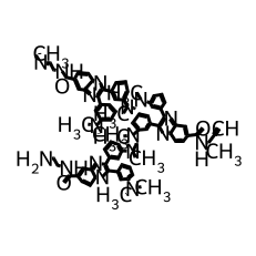 C#CC(C)NC(=O)c1ccc2nc(-c3cccc(N(C)CN(C)c4cccc(-c5nc6cc(C(=O)NCCN)ccc6nc5-c5cccc(N(C)C)c5)c4)c3)c(-c3cccc(N(C)CN(C)c4cccc(-c5nc6ccc(C(=O)NC/C=N/C)cc6nc5-c5cccc(N(C)C)c5)c4)c3)nc2c1